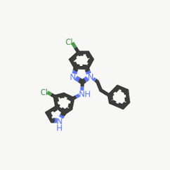 Clc1ccc2c(c1)nc(Nc1cc(Cl)c3cc[nH]c3c1)n2CCc1ccccc1